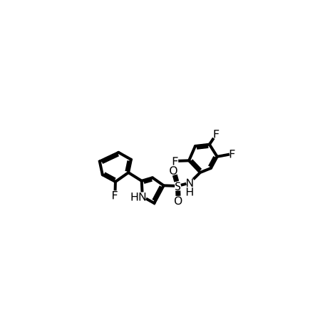 O=S(=O)(Nc1cc(F)c(F)cc1F)c1c[nH]c(-c2ccccc2F)c1